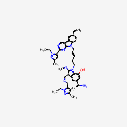 C=Cc1ccc2c(c1)c1cnc(-c3cc(C)nn3CC)nc1n2C/C=C/CCn1c(N=C)c(/C=N\Cc2cc(C)nn2CC)c2cc(C(=C)N)cc(O)c21